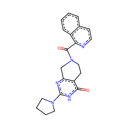 O=C(c1nccc2ccccc12)N1CCc2c(nc(N3CCCC3)[nH]c2=O)C1